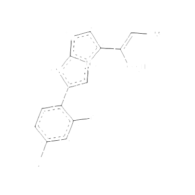 COC=C(C(=O)O)c1csc2nc(-c3ccc(Cl)cc3Cl)cn12